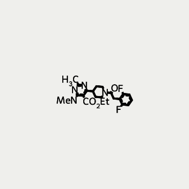 CCOC(=O)c1c(NC)nc(C)nc1C1CCN(C(=O)Cc2c(F)cccc2F)CC1